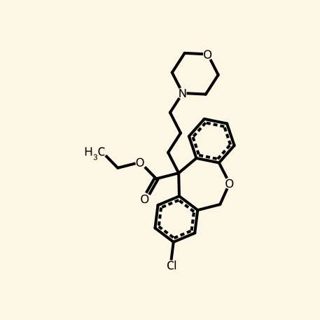 CCOC(=O)C1(CCCN2CCOCC2)c2ccc(Cl)cc2COc2ccccc21